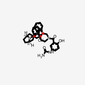 Cc1nc2ccccc2n1C1C[C@H]2CC[C@@H](C1)N2CCC1(c2ccccc2)CCN(C(=O)c2cc(NC(N)=O)ccc2O)CC1